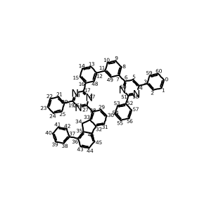 c1ccc(-c2cc(-c3cccc(-c4cccc(-c5nc(-c6ccccc6)nc(-c6cccc7c6Cc6c(-c8ccccc8)cccc6-7)n5)c4)c3)nc(-c3ccccc3)n2)cc1